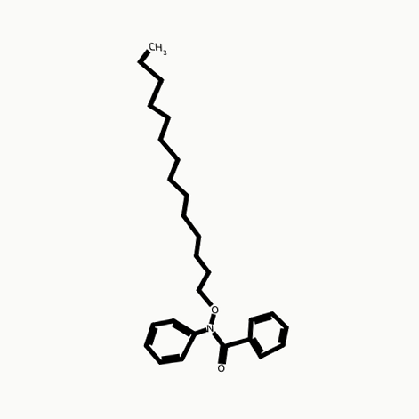 CCCCCCCCCCCCCCON(C(=O)c1ccccc1)c1ccccc1